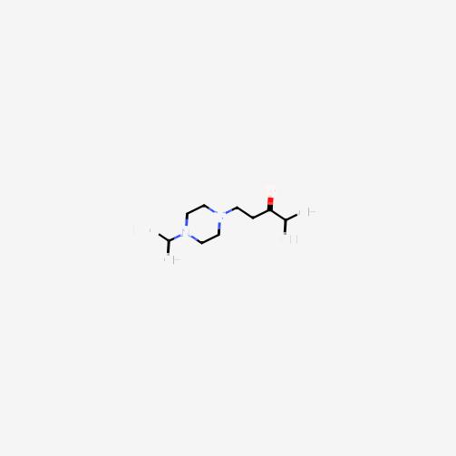 CC(C)C(=O)CCN1CCN(C(C)C)CC1